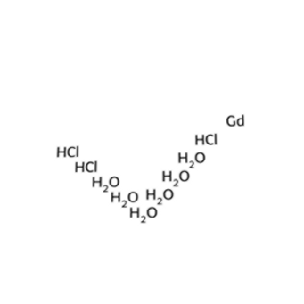 Cl.Cl.Cl.O.O.O.O.O.O.[Gd]